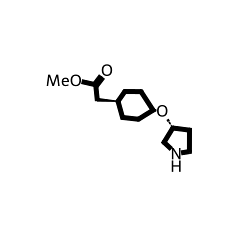 COC(=O)C[C@H]1CC[C@H](O[C@@H]2CCNC2)CC1